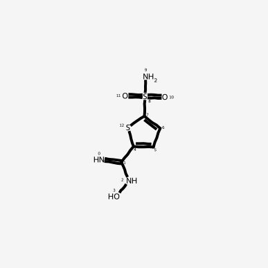 N=C(NO)c1ccc(S(N)(=O)=O)s1